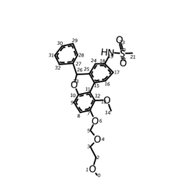 COCCOCOc1ccc2c(c1OC)-c1ccc(NS(C)(=O)=O)cc1C(c1ccccc1)O2